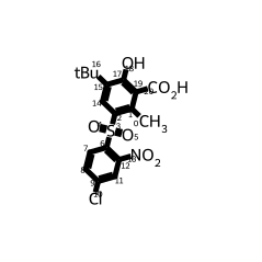 Cc1c(S(=O)(=O)c2ccc(Cl)cc2[N+](=O)[O-])cc(C(C)(C)C)c(O)c1C(=O)O